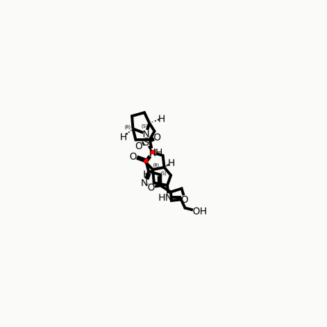 O=C(NC1C[C@H]2CC[C@@H](C1)N2S(=O)(=O)N1C[C@H]2CC(NCCO)C[C@H]2C1)c1cc(C2COC2)on1